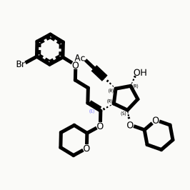 CC(=O)C#C[C@H]1[C@@H](/C(=C\CCOc2cccc(Br)c2)OC2CCCCO2)[C@@H](OC2CCCCO2)C[C@H]1O